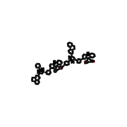 C1=Cc2cc(-c3cc(-c4cccc(-c5ccc6c(c5)C5(c7ccccc7S6)c6ccccc6-c6ccc(-c7ccc(-c8nc(-c9cccc(-c%10ccc%11c(c%10)C%10(c%12ccccc%12S%11)c%11ccccc%11-c%11ccccc%11%10)c9)cc(-c9ccc%10c(ccc%11ccccc%11%10)c9)n8)cc7)cc65)c4)nc(-c4ccccc4)n3)cc3cccc(c23)C1